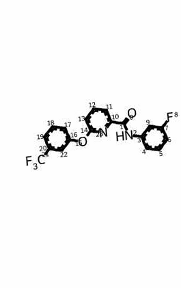 O=C(Nc1cccc(F)c1)c1cccc(Oc2cccc(C(F)(F)F)c2)n1